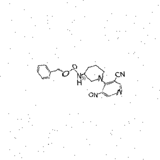 N#Cc1cncc(N=O)c1N1CCC[C@H](NC(=O)OCc2ccccc2)C1